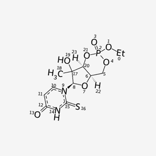 CCOP1(=O)OC[C@H]2O[C@@H](n3ccc(=O)[nH]c3=S)C(C)(O)[C@H]2O1